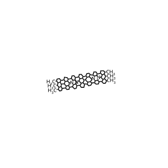 Cc1ccc2c3ccc4c5ccc6c7ccc8c9ccc%10c%11ccc%12c%13ccc(C)c%14c(C)c%15c(C)ccc%16c%17ccc%18c%19ccc%20c%21ccc%22c%23ccc%24c%25ccc%26c%27ccc(C)c%28c(C)c1c2c(c%28%27)c1c3c4c(c%25c%261)n1c5c6n(c2c7c8c(c%21c%222)c2c9c%10c(c%19c%202)n2c%11c%12n(c(c%14%13)c%15%16)c%17c%182)c%23c%241